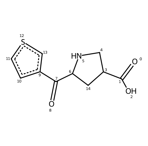 O=C(O)C1CNC(C(=O)c2ccsc2)C1